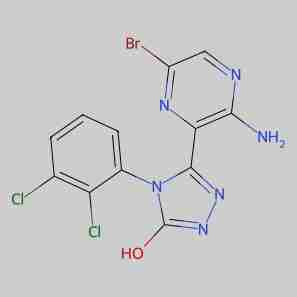 Nc1ncc(Br)nc1-c1nnc(O)n1-c1cccc(Cl)c1Cl